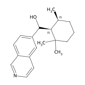 C[C@H]1CCCC(C)(C)[C@H]1C(O)c1ccc2cnccc2c1